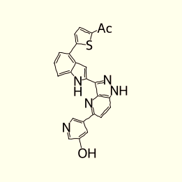 CC(=O)c1ccc(-c2cccc3[nH]c(-c4n[nH]c5ccc(-c6cncc(O)c6)nc45)cc23)s1